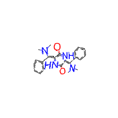 CN(C)C(c1ccccc1)=c1[nH]c(=O)c(=C(c2ccccc2)N(C)C)[nH]c1=O